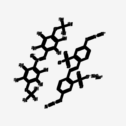 [2H]c1c([2H])c(OC([2H])([2H])[2H])c([2H])c([2H])c1N=[N+]([O-])c1c([2H])c([2H])c(OC([2H])([2H])[2H])c([2H])c1[2H].[N-]=[N+]=Nc1ccc(C=Cc2ccc(N=[N+]=[N-])cc2S(=O)(=O)[O-])c(S(=O)(=O)[O-])c1.[Na+].[Na+]